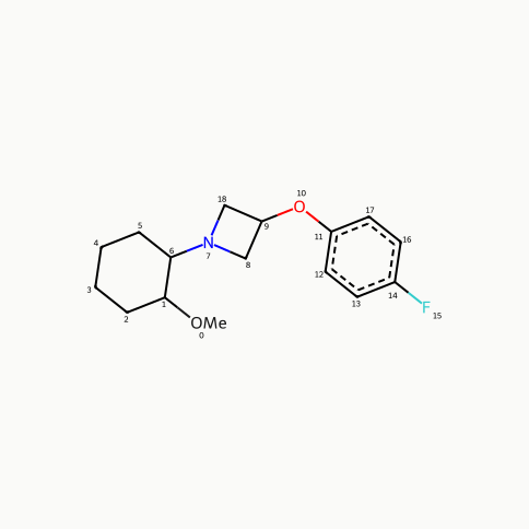 COC1CCCCC1N1CC(Oc2ccc(F)cc2)C1